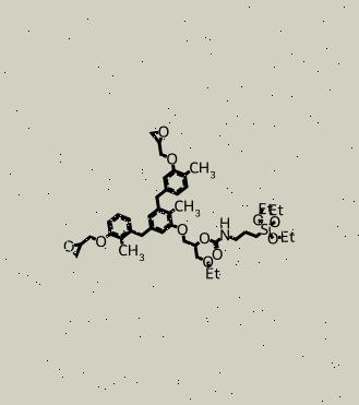 CCOCC(COc1cc(Cc2cccc(OCC3CO3)c2C)cc(Cc2ccc(C)c(OCC3CO3)c2)c1C)OC(=O)NCCC[Si](OCC)(OCC)OCC